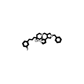 OC1(CCCc2cccc(F)c2)CCN(CC2CN(Cc3ccccc3)CC2c2ccsc2)CC1